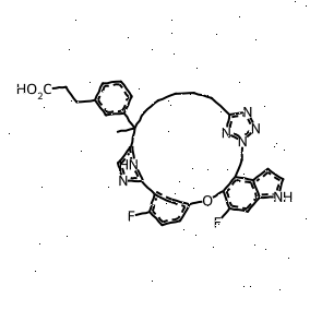 CC1(c2cccc(CCC(=O)O)c2)CCCCCc2nnn(n2)Cc2c(c(F)cc3[nH]ccc23)Oc2ccc(F)c(c2)-c2ncc1[nH]2